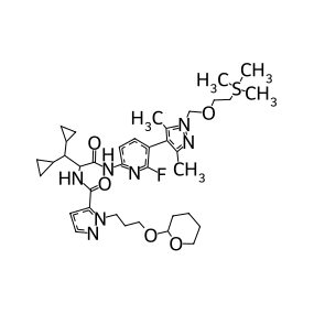 Cc1nn(COCCS(C)(C)C)c(C)c1-c1ccc(NC(=O)C(NC(=O)c2ccnn2CCCOC2CCCCO2)C(C2CC2)C2CC2)nc1F